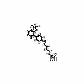 CC1(C)Cc2c(cccc2-c2ccc(OCCCCCC(=O)O)cc2)O1